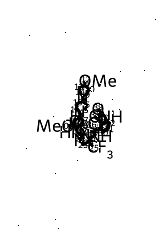 COc1cc(N2CCC(N3CCC(OC)CC3)CC2)ccc1NC1=NCC(C(F)(F)F)C(NCc2cccc3c2C(C)(C)C(=O)N3)=N1